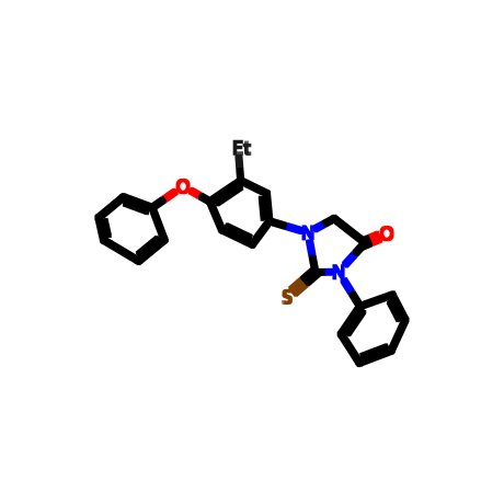 CCc1cc(N2CC(=O)N(c3ccccc3)C2=S)ccc1Oc1ccccc1